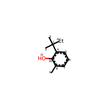 CCC(C)(C)c1c[c]cc(C)c1O